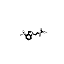 O=C(O)NCCn1ncc2c([N+](=O)[O-])cccc21